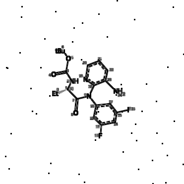 CC[C@H](NC(=O)OC(C)(C)C)C(=O)N(c1cc(F)cc(F)c1)c1ncccc1N